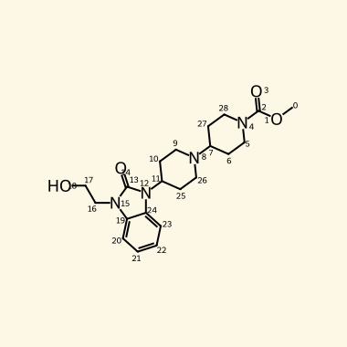 COC(=O)N1CCC(N2CCC(n3c(=O)n(CCO)c4ccccc43)CC2)CC1